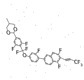 CC1COC(c2cc(F)c(C(F)(F)Oc3ccc(-c4ccc5c(F)c(C#CC(F)(F)F)c(F)cc5c4)c(F)c3)c(F)c2)OC1